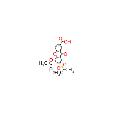 CC(C)Oc1cc(S(=O)(=O)C(C)C)cc2c(=O)c3cc(C(=O)O)ccc3oc12